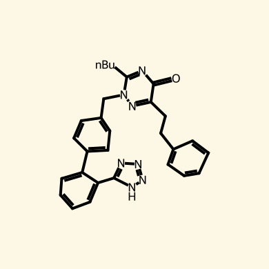 CCCCc1nc(=O)c(CCc2ccccc2)nn1Cc1ccc(-c2ccccc2-c2nnn[nH]2)cc1